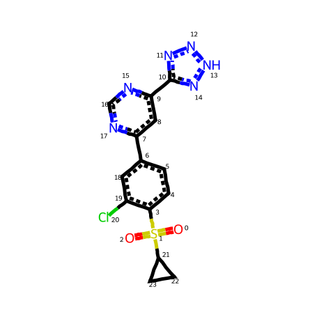 O=S(=O)(c1ccc(-c2cc(-c3nn[nH]n3)ncn2)cc1Cl)C1CC1